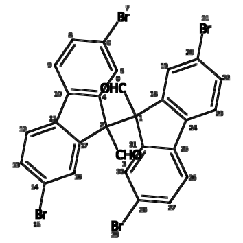 O=CC1(C2(C=O)c3cc(Br)ccc3-c3ccc(Br)cc32)c2cc(Br)ccc2-c2ccc(Br)cc21